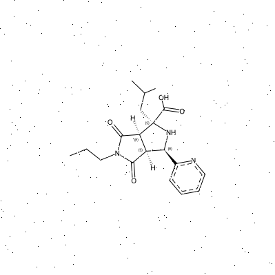 CCCN1C(=O)[C@H]2[C@@H](C1=O)[C@@](CC(C)C)(C(=O)O)N[C@H]2c1ccccn1